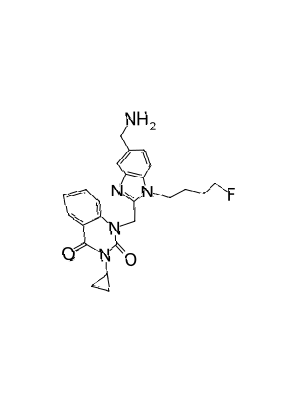 NCc1ccc2c(c1)nc(Cn1c(=O)n(C3CC3)c(=O)c3ccccc31)n2CCCCF